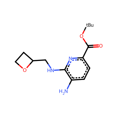 CC(C)(C)OC(=O)c1ccc(N)c(NCC2CCO2)n1